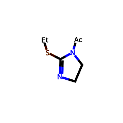 CCSC1=NCCN1C(C)=O